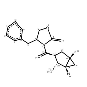 O=C1OCC(Cc2ccccc2)N1C(=O)[C@H]1C[C@@H]2C[C@@H]2[C@@H]1O